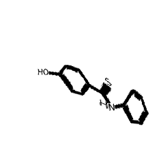 Oc1ccc(C(=S)Nc2ccccc2)cc1